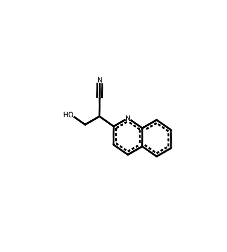 N#CC(CO)c1ccc2ccccc2n1